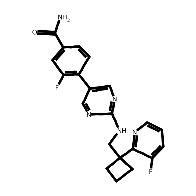 NC(=O)c1ccc(-c2cnc(NCC3(c4ncccc4F)CCC3)nc2)c(F)c1